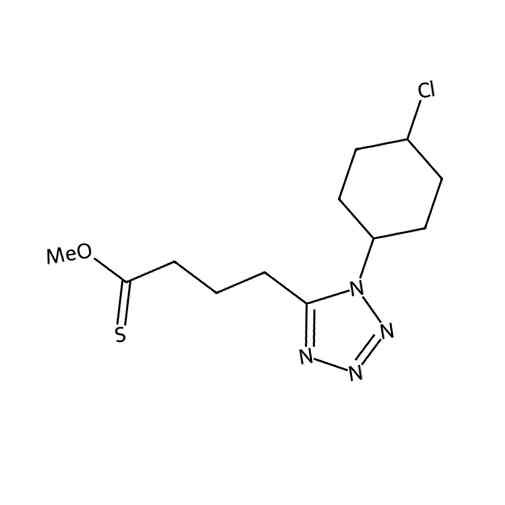 COC(=S)CCCc1nnnn1C1CCC(Cl)CC1